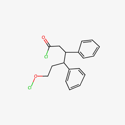 O=C(Cl)CC(c1ccccc1)C(CCOCl)c1ccccc1